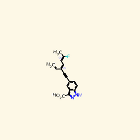 C=C/C(C#Cc1ccc2[nH]nc(C(=O)O)c2c1)=C\C=C(\C)F